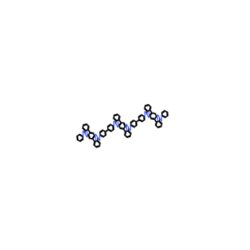 C1=C2c3ccccc3N(c3ccccc3)C2Cc2c1n(-c1ccc(-c3ccc(-n4c5ccccc5c5cc6c(cc54)c4ccccc4n6-c4ccc(-c5ccc(-n6c7ccccc7c7cc8c(cc76)c6ccccc6n8-c6ccccc6)cc5)cc4)cc3)cc1)c1ccccc21